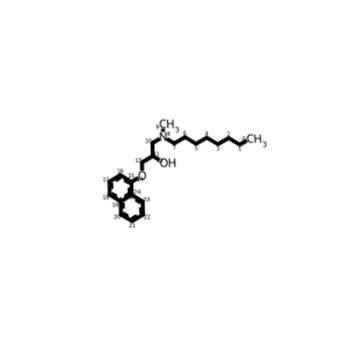 CCCCCCCCN(C)CC(O)COc1cccc2ccccc12